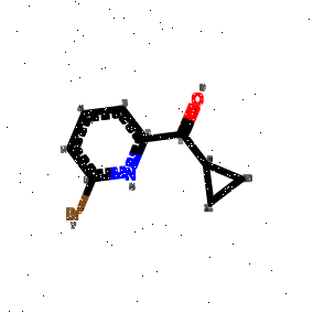 O=C(c1cccc(Br)n1)C1CC1